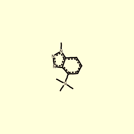 Cn1nnc2c([Si](C)(C)C)cccc21